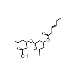 CC/C=C/CC(=O)OC(CCC)CC(=O)OC(CCC)CC(=O)O